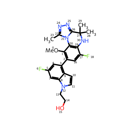 COc1c(-c2cc(F)cc3c2ccn3CCO)cc(F)c2c1-n1c(C)nnc1C(C)(C)N2